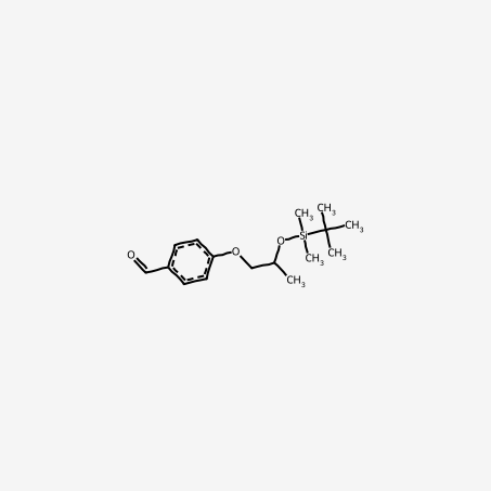 CC(COc1ccc(C=O)cc1)O[Si](C)(C)C(C)(C)C